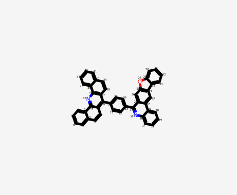 c1ccc2c(c1)ccc1c(-c3ccc(-c4nc5ccccc5c5cc6c(cc45)oc4ccccc46)cc3)c3ccc4ccccc4c3nc12